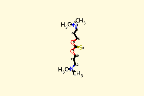 CN(C)CCCOC(=S)OCCCN(C)C